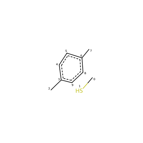 CS.Cc1ccc(C)cc1